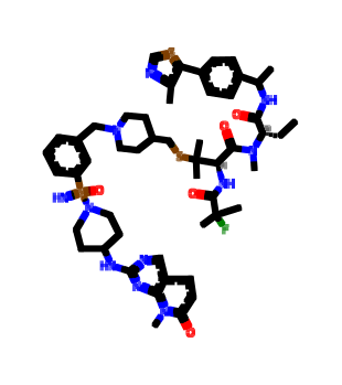 CC[C@@H](C(=O)NC(C)c1ccc(-c2scnc2C)cc1)N(C)C(=O)[C@@H](NC(=O)C(C)(C)F)C(C)(C)SCC1CCN(Cc2cccc(S(=N)(=O)N3CCC(Nc4ncc5ccc(=O)n(C)c5n4)CC3)c2)CC1